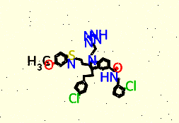 COc1ccc2sc(CCc3c(CCc4ccc(Cl)cc4)c4cc(C(=O)NCc5ccccc5Cl)ccc4n3CCc3nn[nH]n3)nc2c1